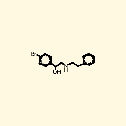 O[C@@H](CNCCc1ccccc1)c1ccc(Br)cc1